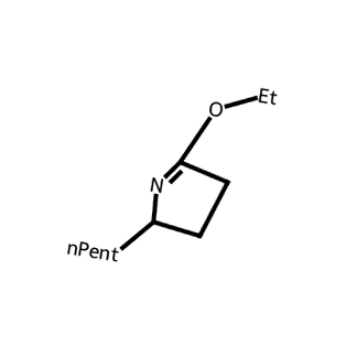 CCCCCC1CCC(OCC)=N1